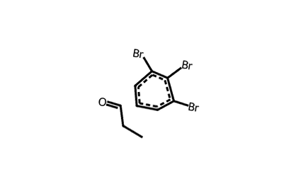 Brc1cccc(Br)c1Br.CCC=O